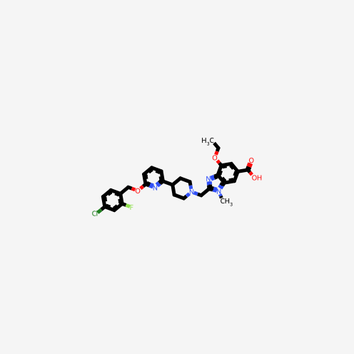 CCOc1cc(C(=O)O)cc2c1nc(CN1CCC(c3cccc(OCc4ccc(Cl)cc4F)n3)CC1)n2C